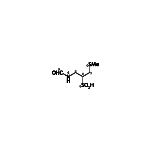 CSCC(CNC=O)S(=O)(=O)O